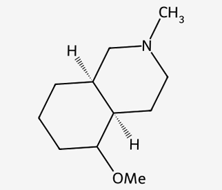 COC1CCC[C@H]2CN(C)CC[C@@H]12